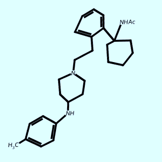 CC(=O)NC1(c2ccccc2CCN2CCC(Nc3ccc(C)cc3)CC2)CCCCC1